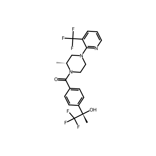 C[C@@H]1CN(c2ncccc2C(F)(F)F)CCN1C(=O)c1ccc([C@](C)(O)C(F)(F)F)cc1